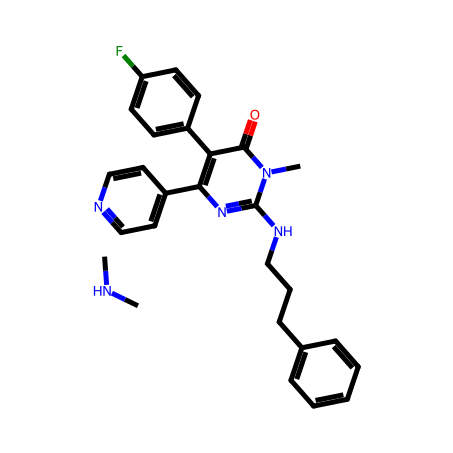 CNC.Cn1c(NCCCc2ccccc2)nc(-c2ccncc2)c(-c2ccc(F)cc2)c1=O